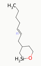 CCCC/C=C/CC1CCO[SiH2]C1